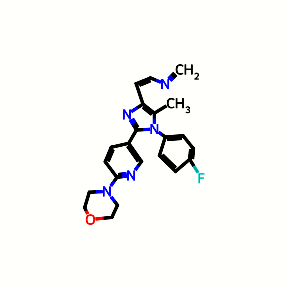 C=N/C=C\c1nc(-c2ccc(N3CCOCC3)nc2)n(-c2ccc(F)cc2)c1C